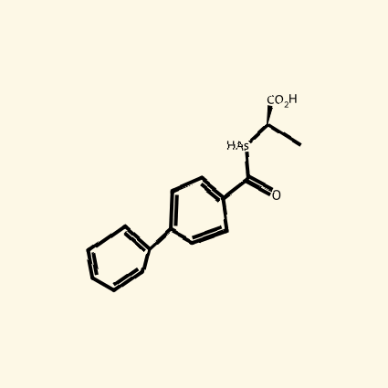 C[C@@H]([AsH]C(=O)c1ccc(-c2ccccc2)cc1)C(=O)O